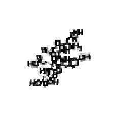 C[C@H](NC(=O)[C@@H](N)Cc1c[nH]cn1)C(=O)N[C@@H](Cc1ccc(O)cc1)C(=O)N[C@@H](CCC(=O)O)C(=O)N[C@@H](CC(=O)O)C(=O)O